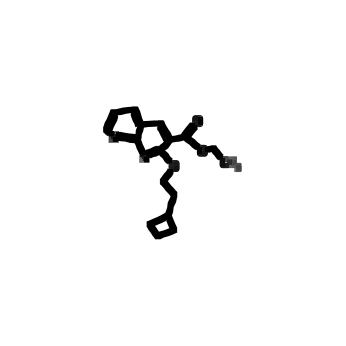 CCOC(=O)c1cc2cccnc2nc1OCCC1CCC1